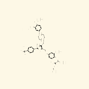 CCOC(=O)C(C)Oc1ccc(SCc2sc(-c3ccc(C(F)(F)F)cc3)nc2CN2CCN(c3ccc(OC)c(OC)c3)CC2)cc1C